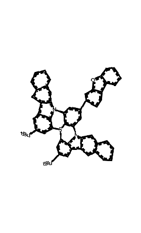 CC(C)(C)c1cc2c3c(c1)c1cc4ccccc4cc1n3-c1cc(-c3ccc4c(c3)oc3ccccc34)cc3c1B2c1cc(C(C)(C)C)cc2c4cc5ccccc5cc4n-3c12